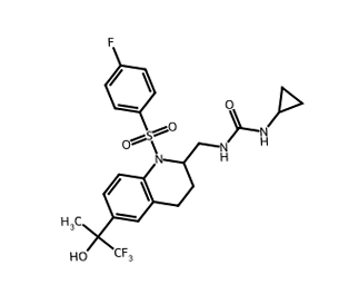 CC(O)(c1ccc2c(c1)CCC(CNC(=O)NC1CC1)N2S(=O)(=O)c1ccc(F)cc1)C(F)(F)F